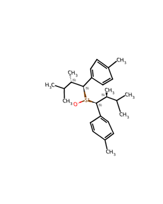 Cc1ccc([C@H]([C@@H](C)C(C)C)[S+]([O-])[C@H](c2ccc(C)cc2)[C@@H](C)C(C)C)cc1